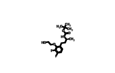 C[C@@H](CCc1ccc(F)c(F)c1OCCO)NC(=O)OC(C)(C)C